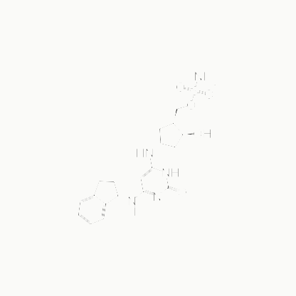 NS(=O)(=O)OC[C@@H]1C[C@@H](Nc2cc(N[C@H]3CCc4ccccc43)nc(=O)[nH]2)C[C@@H]1O